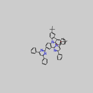 CC(C)(C)c1ccc2c(c1)c1cc(C(C)(C)C)ccc1n2-c1ccc(-c2nc(-c3ccccc3)cc(-c3ccccc3)n2)cc1-c1nc(-c2ccccc2)cc(-c2ccccc2)n1